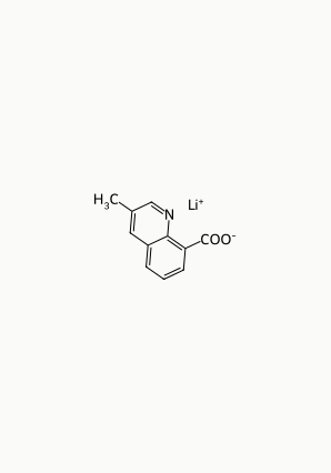 Cc1cnc2c(C(=O)[O-])cccc2c1.[Li+]